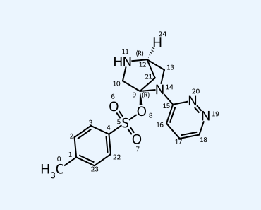 Cc1ccc(S(=O)(=O)O[C@]23CN[C@@H](CN2c2cccnn2)C3)cc1